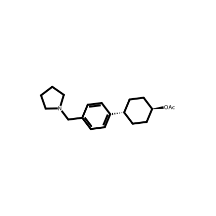 CC(=O)O[C@H]1CC[C@H](c2ccc(CN3CCCC3)cc2)CC1